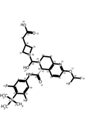 C[Si](C)(C)c1c(F)cc(NC(=O)[C@H]2c3ccc(OC(F)F)nc3CCN2C(O)N2CC(CC(=O)O)C2)cc1F